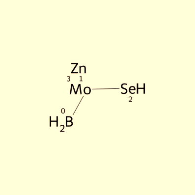 [BH2][Mo][SeH].[Zn]